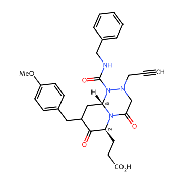 C#CCN1CC(=O)N2[C@@H](CCC(=O)O)C(=O)C(Cc3ccc(OC)cc3)C[C@@H]2N1C(=O)NCc1ccccc1